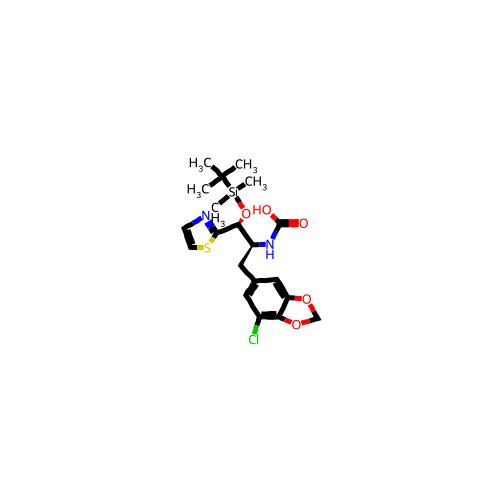 CC(C)(C)[Si](C)(C)O[C@H](c1nccs1)[C@H](Cc1cc(Cl)c2c(c1)OCO2)NC(=O)O